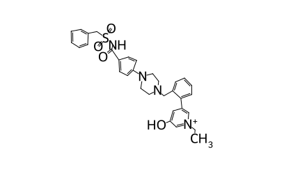 CC[n+]1cc(O)cc(-c2ccccc2CN2CCN(c3ccc(C(=O)NS(=O)(=O)Cc4ccccc4)cc3)CC2)c1